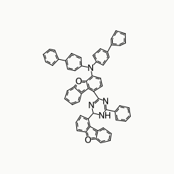 c1ccc(C2=NC(c3ccc(N(c4ccc(-c5ccccc5)cc4)c4ccc(-c5ccccc5)cc4)c4oc5ccccc5c34)=NC(c3cccc4oc5ccccc5c34)N2)cc1